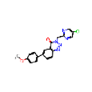 O=c1c2cc(-c3ccc(OC(F)(F)F)cc3)ccc2nnn1Cc1ncc(Cl)cn1